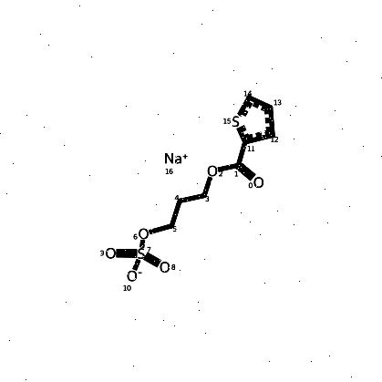 O=C(OCCCOS(=O)(=O)[O-])c1cccs1.[Na+]